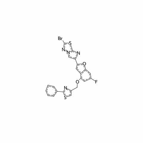 Fc1cc(OCc2csc(-c3ccccc3)n2)c2cc(-c3cn4nc(Br)sc4n3)oc2c1